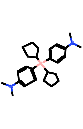 CN(C)c1ccc([B-](c2ccc(N(C)C)cc2)(C2CCCC2)C2CCCC2)cc1